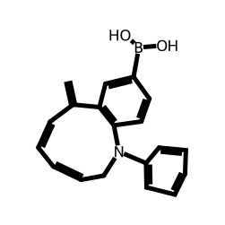 C=C1/C=C\C=C/CN(c2ccccc2)c2ccc(B(O)O)cc21